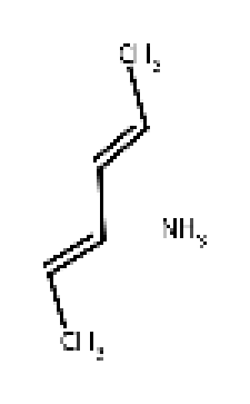 CC=CC=CC.N